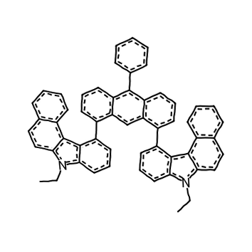 CCn1c2cccc(-c3cccc4c(-c5ccccc5)c5cccc(-c6cccc7c6c6c8ccccc8ccc6n7CC)c5cc34)c2c2c3ccccc3ccc21